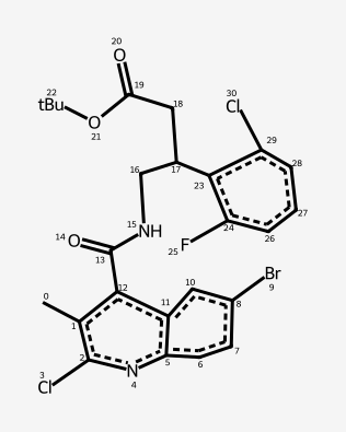 Cc1c(Cl)nc2ccc(Br)cc2c1C(=O)NCC(CC(=O)OC(C)(C)C)c1c(F)cccc1Cl